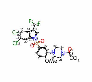 COc1ccc(S(=O)(=O)n2cc(C(F)F)c3cc(Cl)c(Cl)cc32)cc1N1CCN(C(=O)C(Cl)(Cl)Cl)CC1